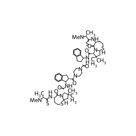 CN[C@@H](C)C(=S)N[C@H]1CCS[C@H]2CC(C)(C)[C@@H](C(=O)NC3c4ccccc4C[C@H]3C(=O)N3CCN(C(=O)[C@@H]4Cc5ccccc5[C@@H]4NC(=O)[C@H]4N5C(=O)[C@@H](NC(=S)[C@H](C)NC)CCS[C@H]5CC4(C)C)CC3)N2C1=O